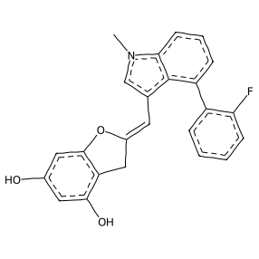 Cn1cc(C=C2Cc3c(O)cc(O)cc3O2)c2c(-c3ccccc3F)cccc21